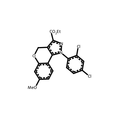 CCOC(=O)c1nn(-c2ccc(Cl)cc2Cl)c2c1COc1cc(OC)ccc1-2